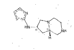 c1csc(N[C@H]2C[C@H]3CNCCN3C2)n1